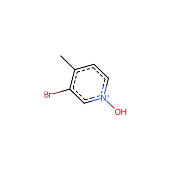 Cc1cc[n+](O)cc1Br